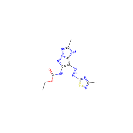 CCOC(=O)Nc1nn2nc(C)[nH]c2c1/N=N/c1nc(C)ns1